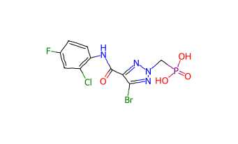 O=C(Nc1ccc(F)cc1Cl)c1nn(CP(=O)(O)O)nc1Br